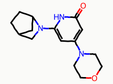 O=c1cc(N2CCOCC2)cc(N2CC3CCC2C3)[nH]1